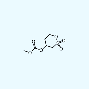 COC(=O)OC1CCOS(=O)(=O)C1